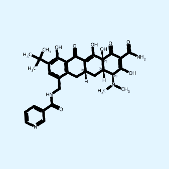 CN(C)[C@@H]1C(O)=C(C(N)=O)C(=O)[C@@]2(O)C(O)=C3C(=O)c4c(O)c(C(C)(C)C)cc(CNC(=O)c5cccnc5)c4C[C@H]3C[C@@H]12